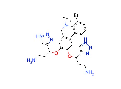 CCc1cccc2c1N(C)Cc1cc(OC(CCN)c3c[nH]nn3)c(OC(CCN)c3c[nH]nn3)cc1-2